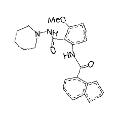 COc1cccc(NC(=O)c2cccc3ccccc23)c1C(=O)NN1CCCCC1